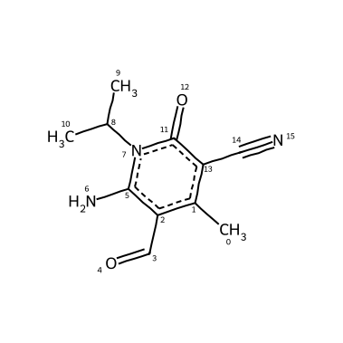 Cc1c(C=O)c(N)n(C(C)C)c(=O)c1C#N